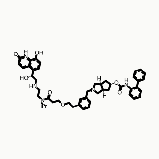 CC(C)N(CCNC[C@H](O)c1ccc(O)c2[nH]c(=O)ccc12)C(=O)CCOCCc1cccc(CN2C[C@H]3C[C@H](OC(=O)Nc4ccccc4-c4ccccc4)C[C@H]3C2)c1